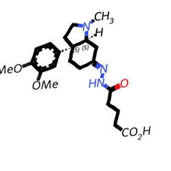 COc1ccc([C@@]23CCC(=NNC(=O)CCCC(=O)O)C[C@@H]2N(C)CC3)cc1OC